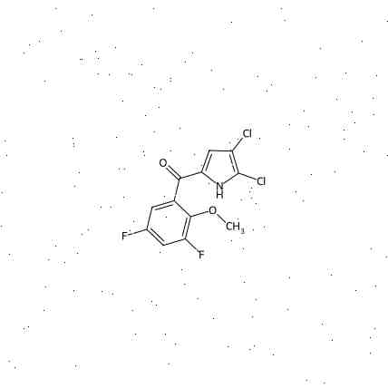 COc1c(F)cc(F)cc1C(=O)c1cc(Cl)c(Cl)[nH]1